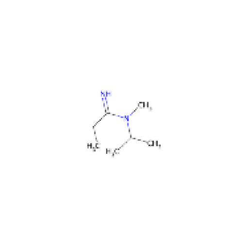 CCC(=N)N(C)C(C)C